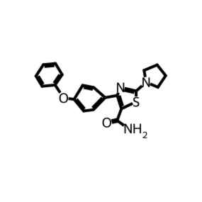 NC(=O)c1sc(N2CCCC2)nc1-c1ccc(Oc2ccccc2)cc1